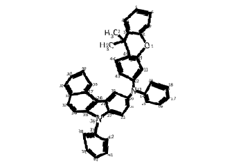 CC1(C)c2ccccc2Oc2cc(N(c3ccccc3)c3ccc4c(c3)c3c5ccccc5ccc3n4-c3ccccc3)ccc21